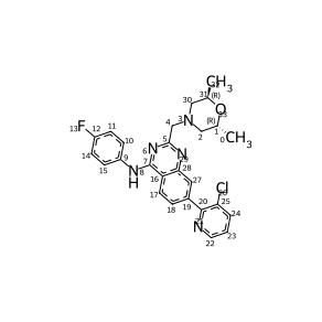 C[C@@H]1CN(Cc2nc(Nc3ccc(F)cc3)c3ccc(-c4ncccc4Cl)cc3n2)C[C@@H](C)O1